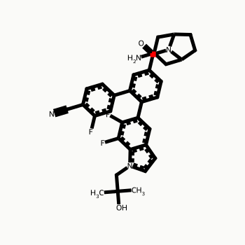 CC(C)(O)Cn1ccc2cc(-c3ccc(C(=O)N4C5CCC4CC(N)C5)cc3-c3ccc(C#N)c(F)c3)c(F)c(F)c21